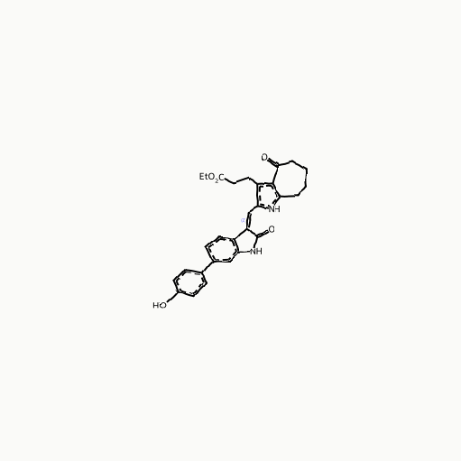 CCOC(=O)CCc1c(/C=C2\C(=O)Nc3cc(-c4ccc(O)cc4)ccc32)[nH]c2c1C(=O)CCCC2